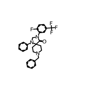 O=C1N(c2cc(C(F)(F)F)ccc2F)CN(c2ccccc2)C12CCN(Cc1ccccc1)CC2